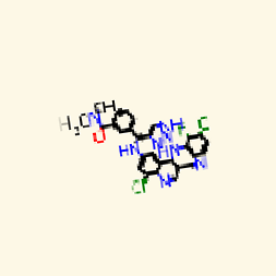 CN(C)C(=O)c1cccc([C@H](Nc2cc(Cl)c3ncc(C#N)c(Nc4cccc(Cl)c4F)c3c2)c2c[nH]nn2)c1